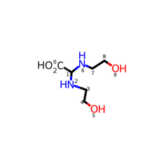 O=C(O)C(NCCO)NCCO